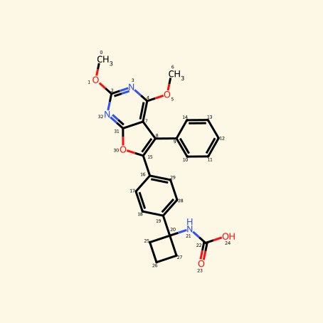 COc1nc(OC)c2c(-c3ccccc3)c(-c3ccc(C4(NC(=O)O)CCC4)cc3)oc2n1